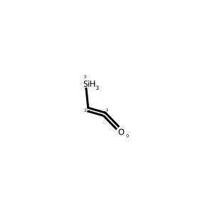 O=C=C[SiH3]